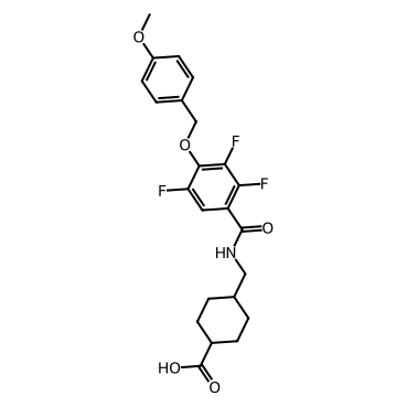 COc1ccc(COc2c(F)cc(C(=O)NCC3CCC(C(=O)O)CC3)c(F)c2F)cc1